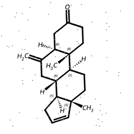 C=C1C[C@@H]2[C@H](CC[C@]3(C)C=CC[C@@H]23)[C@@]2(C)CCC(=O)C[C@H]12